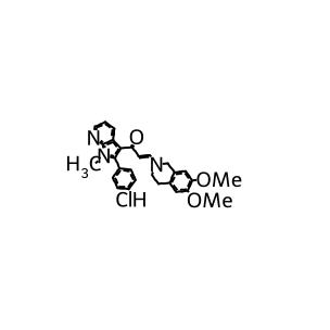 COc1cc2c(cc1OC)CN(/C=C/C(=O)c1c(-c3ccccc3)n(C)c3ncccc13)CC2.Cl